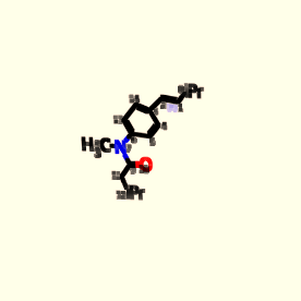 CC(C)/C=C/c1ccc(N(C)C(=O)CC(C)C)cc1